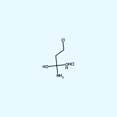 Cl.NC(O)(O)CCCl